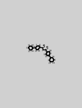 S=C(CC(=S)c1ccc(-c2ccccc2)cc1)c1ccc(-c2ccccc2)cc1